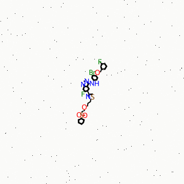 O=S(=O)(CCOCCCc1nc(-c2cc3c(Nc4ccc(OCc5cccc(F)c5)c(Br)c4)ncnc3cc2F)cs1)c1ccccc1